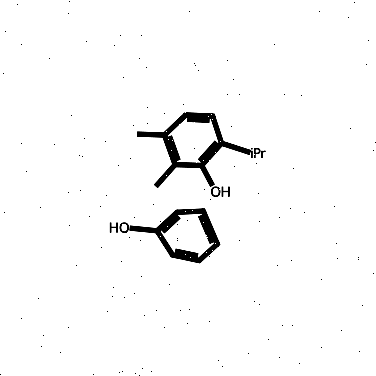 Cc1ccc(C(C)C)c(O)c1C.Oc1ccccc1